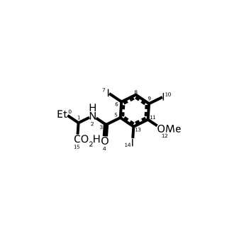 CCC(NC(=O)c1c(I)cc(I)c(OC)c1I)C(=O)O